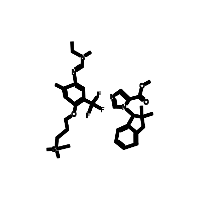 CCN(C)C=Nc1cc(C(F)(F)F)c(OCCC[Si](C)(C)C)cc1C.COC(=O)c1cncn1C1c2ccccc2CC1(C)C